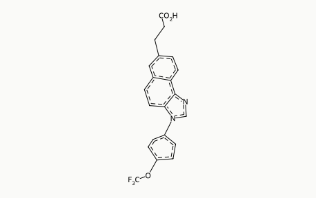 O=C(O)CCc1ccc2c(ccc3c2ncn3-c2ccc(OC(F)(F)F)cc2)c1